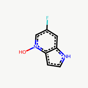 O[n+]1cc(F)cc2[nH]ccc21